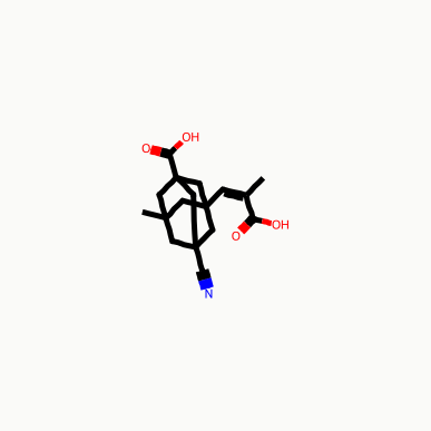 CC(=CC12CC3(C)CC(C#N)(C1)CC(C(=O)O)(C3)C2)C(=O)O